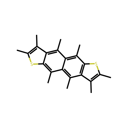 Cc1sc2c(C)c3c(C)c4c(C)c(C)sc4c(C)c3c(C)c2c1C